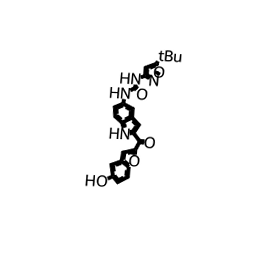 CC(C)(C)c1cc(NC(=O)Nc2ccc3[nH]c(C(=O)c4cc5cc(O)ccc5o4)cc3c2)no1